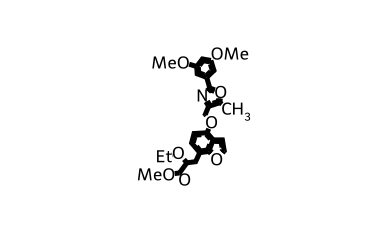 CCOC(Cc1ccc(OCc2nc(-c3cc(OC)cc(OC)c3)oc2C)c2ccoc12)C(=O)OC